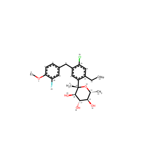 CCOc1ccc(Cc2cc([C@]3(C)O[C@H](C)[C@@H](O)[C@H](O)[C@H]3O)c(COC)cc2Cl)cc1F